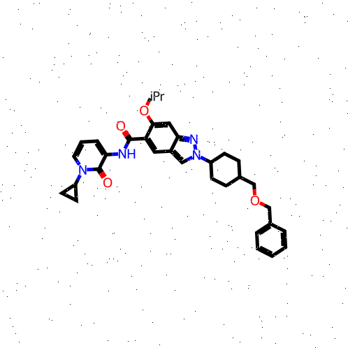 CC(C)Oc1cc2nn(C3CCC(COCc4ccccc4)CC3)cc2cc1C(=O)Nc1cccn(C2CC2)c1=O